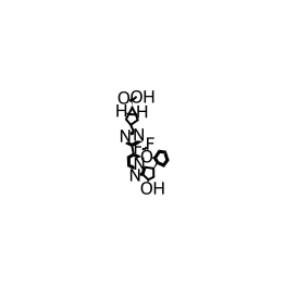 O=C(O)[C@@H]1[C@@H]2CC(c3ncc(-c4ccc5nc6c(n5c4)[C@@H](c4ccccc4OC(F)F)C[C@H]6O)cn3)C[C@@H]21